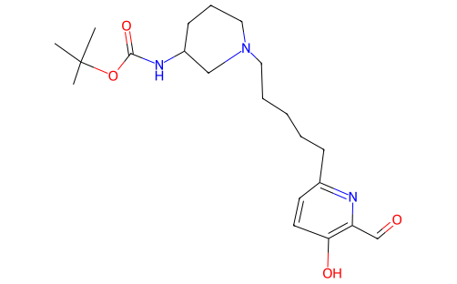 CC(C)(C)OC(=O)NC1CCCN(CCCCCc2ccc(O)c(C=O)n2)C1